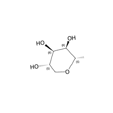 C[C@@H]1OC[C@H](O)[C@@H](O)[C@H]1O